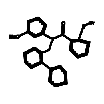 COc1cccc(N(Cc2ccccc2-c2ccccc2)C(=O)c2ccccc2SC(C)C)c1